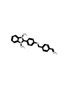 C=Cc1ccc(COc2ccc(C3N(C)c4ccccc4N3C)cc2)cc1